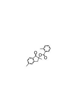 Cc1ccc2c(c1)CC(C)(OC(=O)c1ccccc1C)C2=O